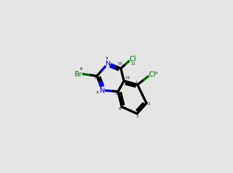 Clc1cccc2nc(Br)nc(Cl)c12